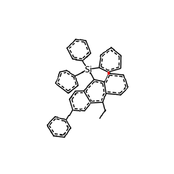 CCc1c2ccccc2c([Si](c2ccccc2)(c2ccccc2)c2ccccc2)c2ccc(-c3ccccc3)cc12